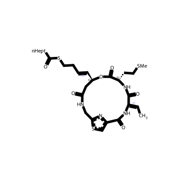 C/C=C1\NC(=O)c2csc(n2)CNC(=O)C[C@@H](/C=C/CCSC(=O)CCCCCCC)OC(=O)[C@H](CCSC)NC1=O